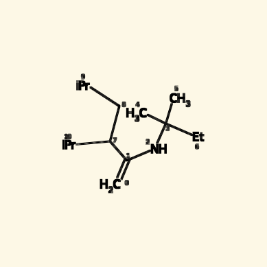 C=C(NC(C)(C)CC)C(CC(C)C)C(C)C